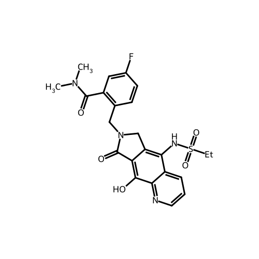 CCS(=O)(=O)Nc1c2c(c(O)c3ncccc13)C(=O)N(Cc1ccc(F)cc1C(=O)N(C)C)C2